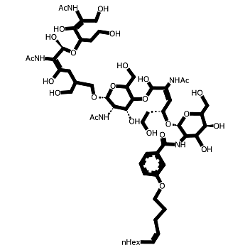 CCCCCC/C=C\CCCOc1cccc(C(=O)NC2C(O)[C@H](O)C(CO)O[C@H]2O[C@@H](/C=C(/NC(C)=O)C(O)OC2C(CO)O[C@@H](OCC(CO)C/C(O)=C(/NC(C)=O)[C@@H](O)OC(CCO)/C(O)=C(\CO)NC(C)=O)[C@@H](NC(C)=O)[C@H]2O)CCO)c1